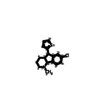 CN1CCCC2C(c3cccs3)c3cc(Cl)ccc3C21